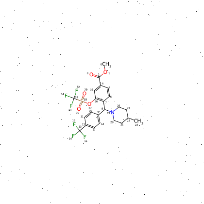 COC(=O)c1ccc(C(c2ccc(C(F)(F)F)cc2)N2CCC(C)CC2)c(OS(=O)(=O)C(F)(F)F)c1